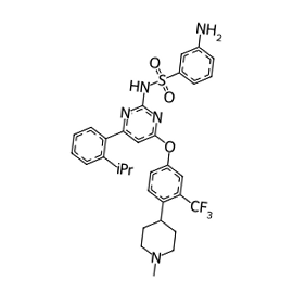 CC(C)c1ccccc1-c1cc(Oc2ccc(C3CCN(C)CC3)c(C(F)(F)F)c2)nc(NS(=O)(=O)c2cccc(N)c2)n1